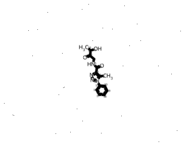 Cc1c(C(=O)NCC(=O)C(C)O)nnn1-c1ccccc1